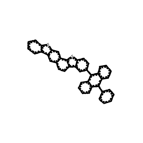 c1ccc(-c2c3ccccc3c(-c3ccc4sc5c6cc7sc8ccccc8c7cc6ccc5c4c3)c3ccccc23)cc1